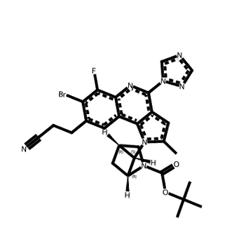 Cc1cc2c(-n3cncn3)nc3c(F)c(Br)c(CCC#N)cc3c2n1[C@H]1[C@@H]2C[C@H]1N(C(=O)OC(C)(C)C)C2